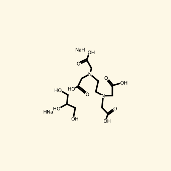 O=C(O)CN(CCN(CC(=O)O)CC(=O)O)CC(=O)O.OCC(O)CO.[NaH].[NaH]